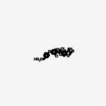 C[C@@H](c1ccc(Oc2ccc(CC(=O)O)cc2)cc1Cl)[C@](O)(c1ccc2c(c1)N(C)C(=O)CO2)C(F)(F)F